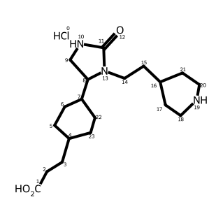 Cl.O=C(O)CCC1CCC(C2CNC(=O)N2CCC2CCNCC2)CC1